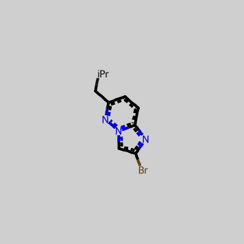 CC(C)Cc1ccc2nc(Br)cn2n1